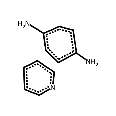 Nc1ccc(N)cc1.c1ccncc1